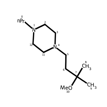 CCCN1CCN(CCC(C)(C)OC)CC1